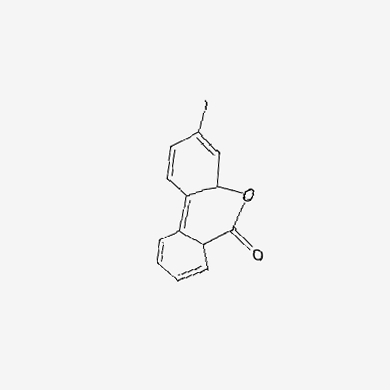 O=C1OC2C=C(I)C=CC2=C2C=CC=CC12